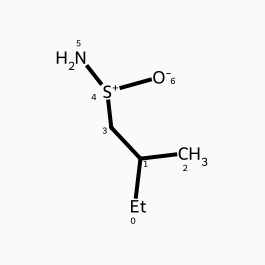 CCC(C)C[S+](N)[O-]